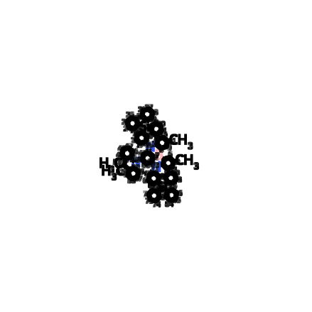 Cc1ccc2c(c1)B1c3cc(C)ccc3N(c3cccc([Si](c4ccccc4)(c4ccccc4)c4ccccc4)c3)c3cc(N4c5ccccc5C(C)(C)c5ccccc54)cc(c31)N2c1cccc([Si](c2ccccc2)(c2ccccc2)c2ccccc2)c1